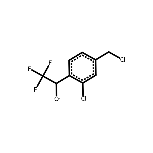 [O]C(c1ccc(CCl)cc1Cl)C(F)(F)F